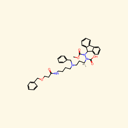 COC(=O)N(C1c2ccccc2-c2ccccc21)N(C(=O)O)[C@H](C)CCN(CCCCNC(=O)CCOCc1ccccc1)Cc1ccccc1